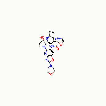 Cc1cc([C@@]2(C(=O)Nc3cc4oc(N5CCOCC5)nc4nc3N3CCC(O)C3)NC=CO2)ccn1